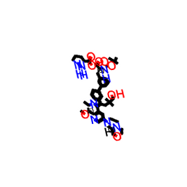 CCn1c(-c2cc(N3CCN4CCOC[C@@H]4C3)cnc2[C@H](C)OC)c(CC(C)(C)CO)c2cc(-c3cccc(C[C@H](NC(=O)OC(C)(C)C)C(=O)OC(=O)C4CCCNN4)c3)ccc21